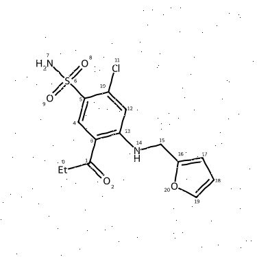 CCC(=O)c1cc(S(N)(=O)=O)c(Cl)cc1NCc1ccco1